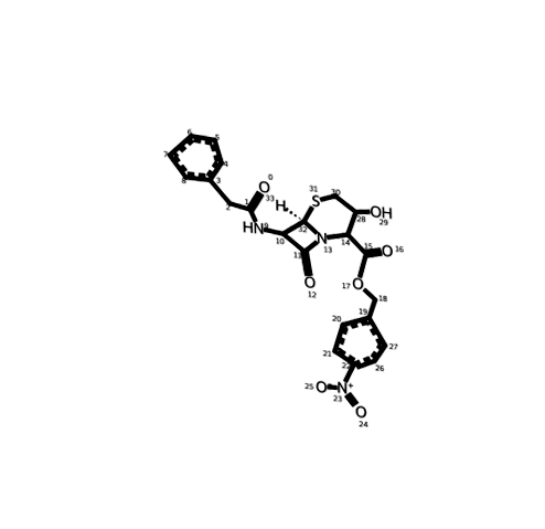 O=C(Cc1ccccc1)NC1C(=O)N2C(C(=O)OCc3ccc([N+](=O)[O-])cc3)C(O)CS[C@H]12